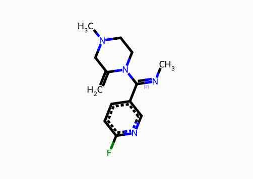 C=C1CN(C)CCN1/C(=N\C)c1ccc(F)nc1